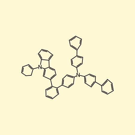 C1=CCCC(n2c3ccccc3c3ccc(-c4ccccc4-c4ccc(N(c5ccc(-c6ccccc6)cc5)c5ccc(-c6ccccc6)cc5)cc4)cc32)=C1